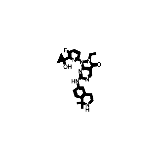 CCn1c(=O)c2cnc(Nc3ccc4c(c3)CCNC4(C)C)nc2n1-c1ccc(F)c(C2(O)CC2)n1